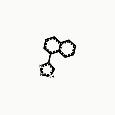 c1ccc2c(-c3c[nH]nn3)cccc2c1